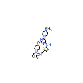 C=CC(=O)N1CCC(Oc2nc(Nc3ncc(C#N)s3)cc(N3CCN(C)CC3)n2)CC1